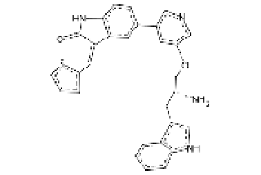 N[C@@H](COc1cncc(-c2ccc3c(c2)C(=Cc2cccs2)C(=O)N3)c1)Cc1c[nH]c2ccccc12